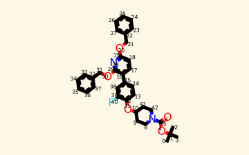 CC(C)(C)OC(=O)N1CCC(Oc2ccc(-c3ccc(OCc4ccccc4)nc3OCc3ccccc3)cc2F)CC1